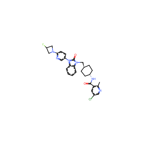 Cc1ncc(Cl)cc1C(=O)N[C@H]1CC[C@H](Cn2c(=O)n(-c3ccc(N4CC(F)C4)nc3)c3ccccc32)CC1